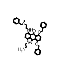 CN(CCNc1ccc2c3c(nn2CCN)-c2c(OCc4ccccc4)ccc(OCc4ccccc4)c2C(=O)c13)Cc1ccccc1